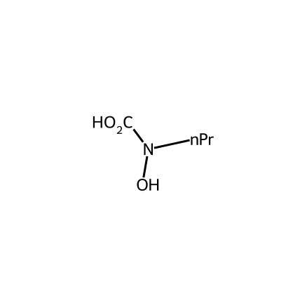 CCCN(O)C(=O)O